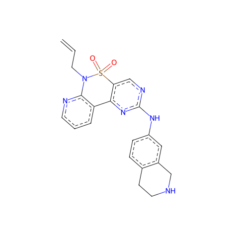 C=CCN1c2ncccc2-c2nc(Nc3ccc4c(c3)CNCC4)ncc2S1(=O)=O